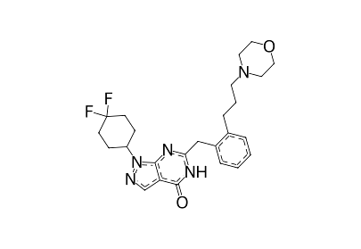 O=c1[nH]c(Cc2ccccc2CCCN2CCOCC2)nc2c1cnn2C1CCC(F)(F)CC1